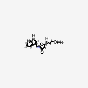 COCCNC1=CC(=O)/C(=C/c2c[nH]c3ncccc23)O1